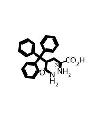 NC(=O)C(C[C@H](N)C(=O)O)C(c1ccccc1)(c1ccccc1)c1ccccc1